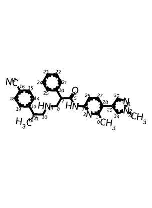 Cc1nc(NC(=O)C(CNC[C@H](C)c2ccc(C#N)cc2)c2ccccc2)ccc1-c1cnn(C)c1